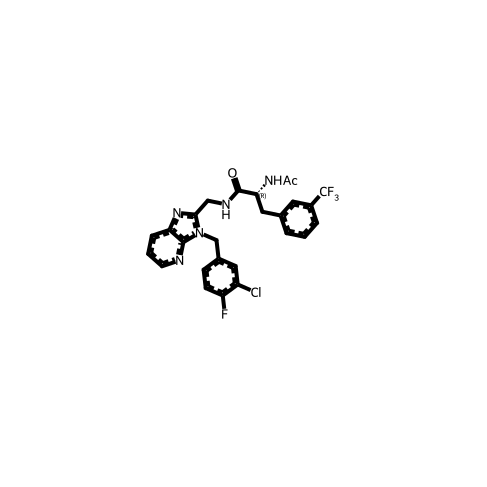 CC(=O)N[C@H](Cc1cccc(C(F)(F)F)c1)C(=O)NCc1nc2cccnc2n1Cc1ccc(F)c(Cl)c1